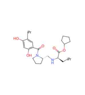 CC(C)C[C@@H](NC[C@@H]1CCCN1C(=O)c1cc(C(C)C)c(O)cc1O)C(=O)OC1CCCC1